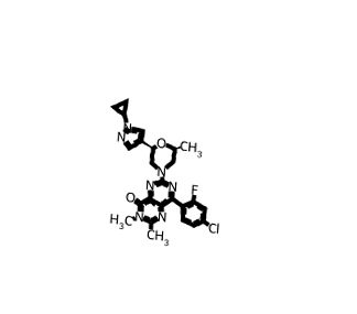 Cc1nc2c(-c3ccc(Cl)cc3F)nc(N3C[C@@H](C)O[C@H](c4cnn(C5CC5)c4)C3)nc2c(=O)n1C